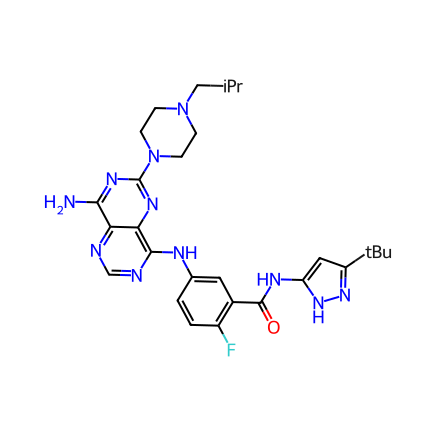 CC(C)CN1CCN(c2nc(N)c3ncnc(Nc4ccc(F)c(C(=O)Nc5cc(C(C)(C)C)n[nH]5)c4)c3n2)CC1